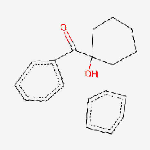 O=C(c1ccccc1)C1(O)CCCCC1.c1ccccc1